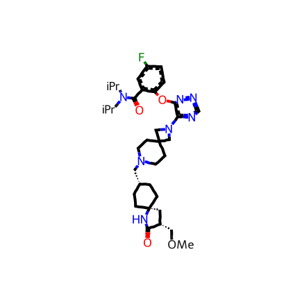 COC[C@H]1C[C@]2(CC[C@@H](CN3CCC4(CC3)CN(c3ncnnc3Oc3ccc(F)cc3C(=O)N(C(C)C)C(C)C)C4)CC2)NC1=O